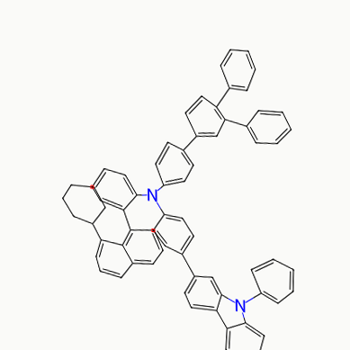 c1ccc(-c2ccc(-c3ccc(N(c4ccc(-c5ccc6c7ccccc7n(-c7ccccc7)c6c5)cc4)c4ccccc4-c4cccc5cccc(C6CCCCC6)c45)cc3)cc2-c2ccccc2)cc1